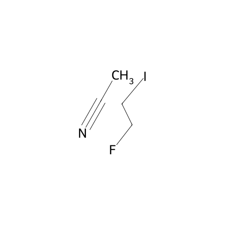 CC#N.FCCI